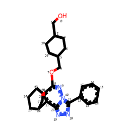 OCC1CCC(COc2nn3c(-c4ccccc4)nnc3c3c2C2CCC3CC2)CC1